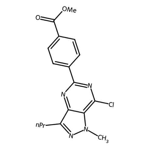 CCCc1nn(C)c2c(Cl)nc(-c3ccc(C(=O)OC)cc3)nc12